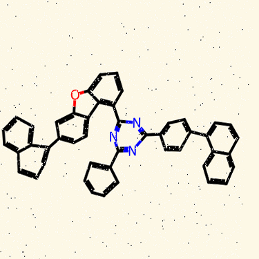 c1ccc(-c2nc(-c3ccc(-c4cccc5ccccc45)cc3)nc(-c3cccc4oc5cc(-c6cccc7ccccc67)ccc5c34)n2)cc1